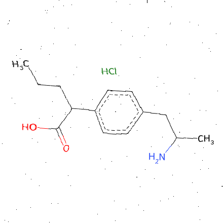 CCCC(C(=O)O)c1ccc(CC(C)N)cc1.Cl